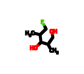 CC(CO)C(O)C(C)CF